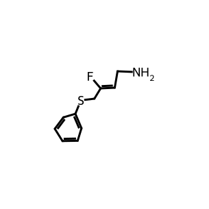 NCC=C(F)CSc1ccccc1